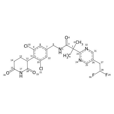 CC(C)(C(=O)NCc1cc(Cl)c(C2CCC(=O)NC2=O)c(Cl)c1)c1ncc(CC(F)F)cn1